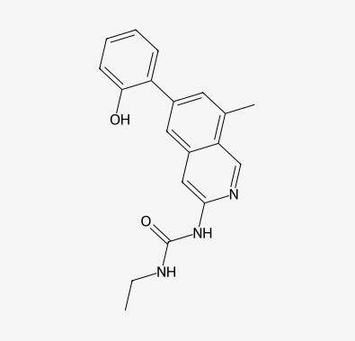 CCNC(=O)Nc1cc2cc(-c3ccccc3O)cc(C)c2cn1